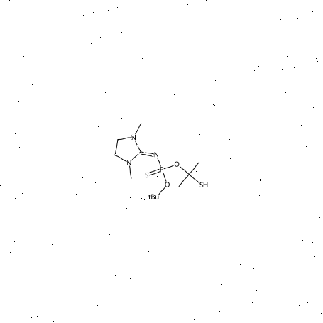 CN1CCN(C)C1=NP(=S)(OC(C)(C)C)OC(C)(C)S